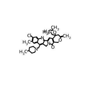 C=C1CC(CC)(OC(C)C)c2cc3n(c(=O)c2CO1)Cc1c-3nc2cc(Cl)c(C)cc2c1CN1CCC(C)CC1